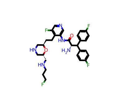 N[C@H](C(=O)Nc1cncc(F)c1CC[C@@H]1CNC[C@@H](CNCCCF)O1)C(c1ccc(F)cc1)c1ccc(F)cc1